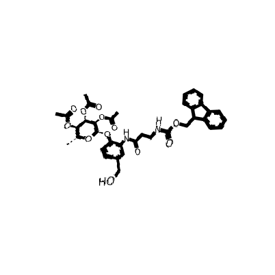 CC(=O)O[C@@H]1[C@@H](OC(C)=O)[C@H](Oc2ccc(CO)cc2NC(=O)CCNC(=O)OCC2c3ccccc3-c3ccccc32)O[C@H](C)[C@H]1OC(C)=O